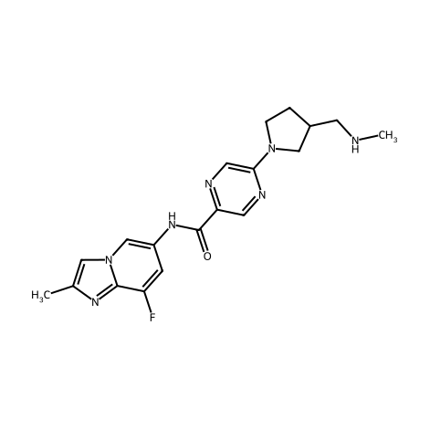 CNCC1CCN(c2cnc(C(=O)Nc3cc(F)c4nc(C)cn4c3)cn2)C1